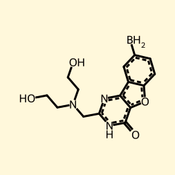 Bc1ccc2oc3c(=O)[nH]c(CN(CCO)CCO)nc3c2c1